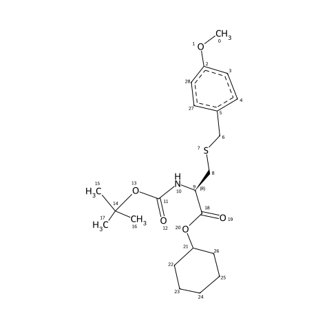 COc1ccc(CSC[C@H](NC(=O)OC(C)(C)C)C(=O)OC2CCCCC2)cc1